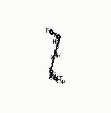 CC1(C)C(=O)N(c2ccc(C#N)c(C(F)(F)F)c2)C(=S)N1c1ccc(OCCCCCCCC(=O)NCCOCCOCCNCc2cccc(OCc3ccc(F)cc3)c2)cc1